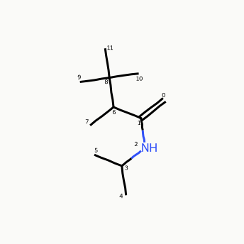 C=C(NC(C)C)C(C)C(C)(C)C